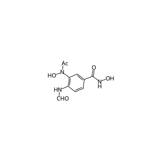 CC(=O)N(O)c1cc(C(=O)NO)ccc1NC=O